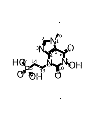 Cn1cnc2c1c(=O)n(O)c(=O)n2CCP(=O)(O)O